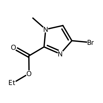 CCOC(=O)c1nc(Br)cn1C